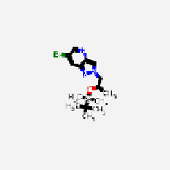 CC(Cn1cc2ncc(Br)cc2n1)O[Si](C)(C)C(C)(C)C